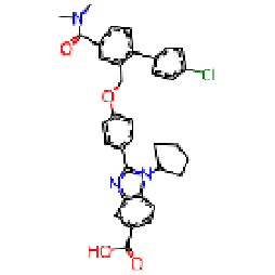 CN(C)C(=O)c1ccc(-c2ccc(Cl)cc2)c(COc2ccc(-c3nc4cc(C(=O)O)ccc4n3C3CCCC3)cc2)c1